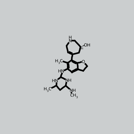 CNC1CC(C)NC(Nc2cc3c(c(C4=CCNC[C@H](O)C4)c2C)OCC3)N1